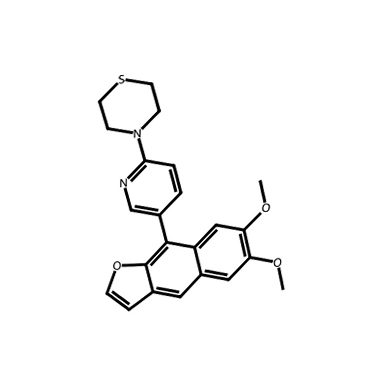 COc1cc2cc3ccoc3c(-c3ccc(N4CCSCC4)nc3)c2cc1OC